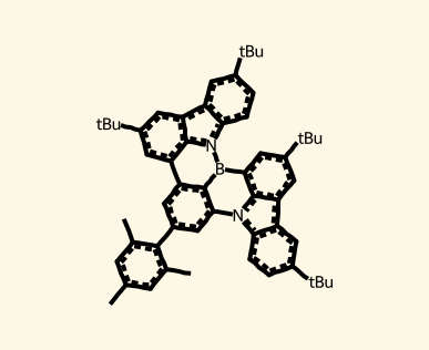 Cc1cc(C)c(-c2cc3c4c(c2)-n2c5ccc(C(C)(C)C)cc5c5cc(C(C)(C)C)cc(c52)B4n2c4ccc(C(C)(C)C)cc4c4cc(C(C)(C)C)cc-3c42)c(C)c1